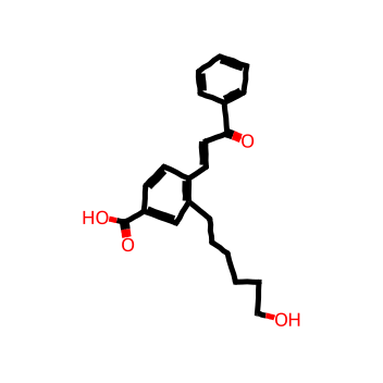 O=C(O)c1ccc(C=CC(=O)c2ccccc2)c(CCCCCCO)c1